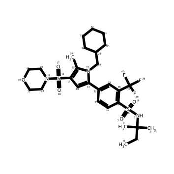 CCC(C)(C)NS(=O)(=O)c1ccc(-c2cc(S(=O)(=O)N3CCOCC3)c(C)n2CC2CCCCC2)cc1C(F)(F)F